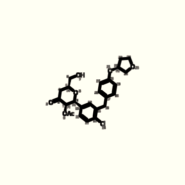 CC(=O)O[C@H]1C(=O)C[C@@H](CO)O[C@H]1c1ccc(Cl)c(Cc2ccc(O[C@H]3CCOC3)cc2)c1